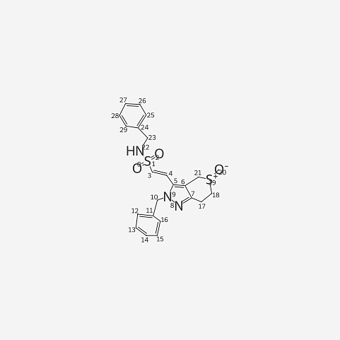 O=S(=O)(/C=C/c1c2c(nn1Cc1ccccc1)CC[S+]([O-])C2)NCc1ccccc1